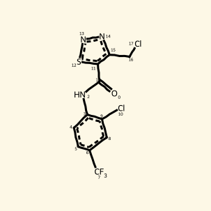 O=C(Nc1ccc(C(F)(F)F)cc1Cl)c1snnc1CCl